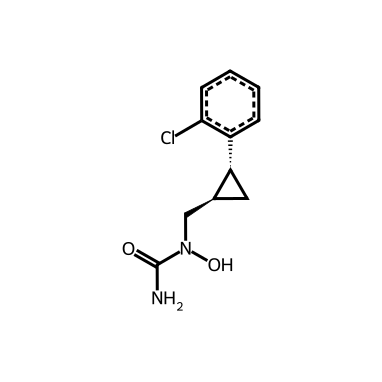 NC(=O)N(O)C[C@@H]1C[C@H]1c1ccccc1Cl